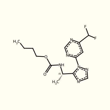 CCCCOC(=O)N[C@@H](C)c1ncnn1-c1cc(C(F)F)ncn1